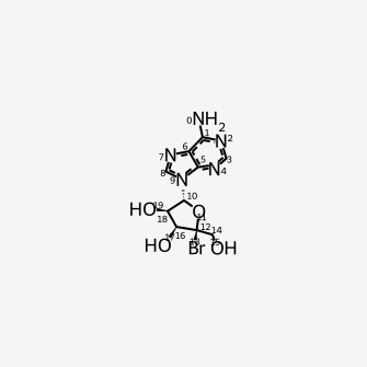 Nc1ncnc2c1ncn2[C@@H]1O[C@](Br)(CO)[C@@H](O)[C@H]1O